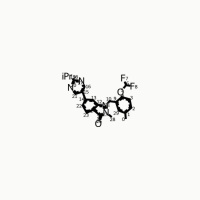 Cc1ccc(OC(F)F)c(Cn2c3cc(-c4cnc(C(C)C)nc4)ccc3c(=O)n2C)c1